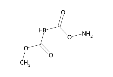 COC(=O)BC(=O)ON